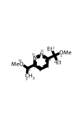 CCC(CC)(OC)c1ccc(C(C)OC)nn1